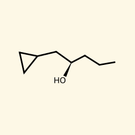 CCC[C@@H](O)CC1CC1